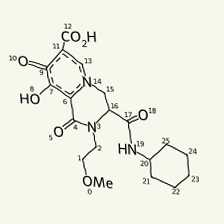 COCCN1C(=O)c2c(O)c(=O)c(C(=O)O)cn2CC1C(=O)NC1CCCCC1